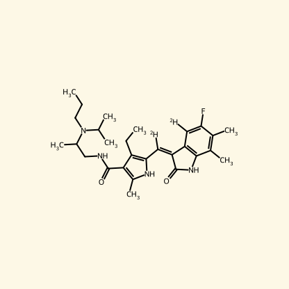 [2H]/C(=C1/C(=O)Nc2c(C)c(C)c(F)c([2H])c21)c1[nH]c(C)c(C(=O)NCC(C)N(CCC)C(C)C)c1CC